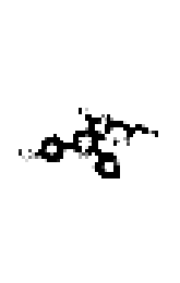 O=c1[nH]c(CC(O)CO)nc2c(-c3cccnc3)nc(-c3ccc(C(F)(F)F)cc3)cc12